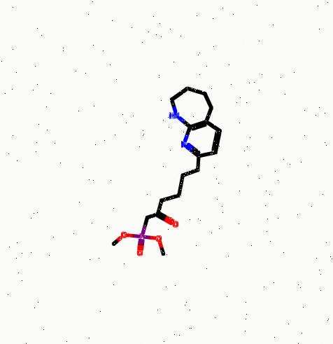 COP(=O)(CC(=O)CCCCc1ccc2c(n1)NCCCC2)OC